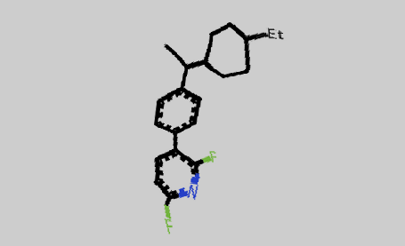 CCC1CCC(C(C)c2ccc(-c3ccc(F)nc3F)cc2)CC1